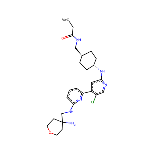 COCC(=O)NC[C@H]1CC[C@H](Nc2cc(-c3cccc(NCC4(N)CCOCC4)n3)c(Cl)cn2)CC1